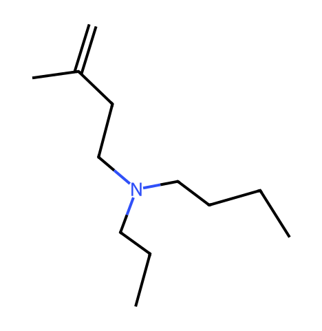 C=C(C)CCN(CCC)CCCC